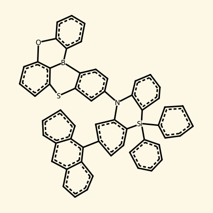 c1ccc([Si]2(c3ccccc3)c3ccccc3N(c3ccc4c(c3)Sc3cccc5c3B4c3ccccc3O5)c3cc(-c4c5ccccc5cc5ccccc45)ccc32)cc1